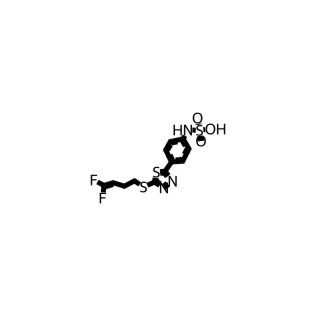 O=S(=O)(O)Nc1ccc(-c2nnc(SCCC=C(F)F)s2)cc1